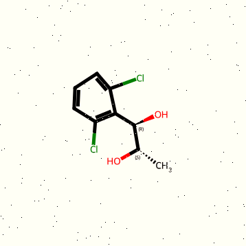 C[C@H](O)[C@H](O)c1c(Cl)cccc1Cl